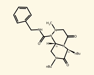 CCCC[C@H]1C(=O)N(CCCC)C[C@H]2N1C(=O)CN(C)N2C(=O)NCc1ccccc1